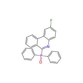 O=P(c1ccccc1)(c1ccccc1)c1nc2ccc(F)cc2c2ccccc12